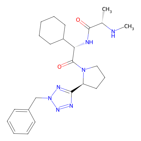 CN[C@@H](C)C(=O)N[C@H](C(=O)N1CCC[C@H]1c1nnn(Cc2ccccc2)n1)C1CCCCC1